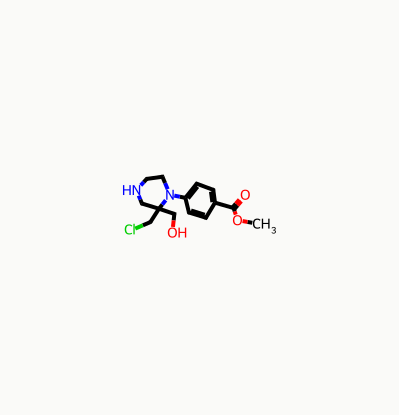 COC(=O)c1ccc(N2CCNCC2(CO)CCl)cc1